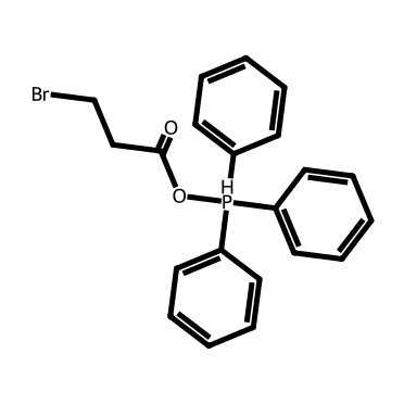 O=C(CCBr)O[PH](c1ccccc1)(c1ccccc1)c1ccccc1